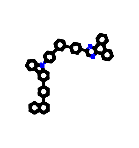 c1cc(-c2ccc(-c3cnc4c5ccccc5c5ccccc5c4n3)cc2)cc(-c2ccc(-n3c4ccccc4c4cc(-c5ccc(-c6cccc7ccccc67)cc5)ccc43)cc2)c1